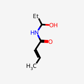 CC=CC(=O)NC(O)CC